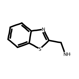 [NH]Cc1nc2ccccc2s1